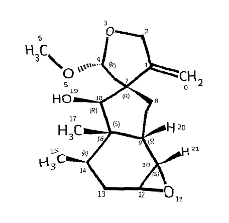 C=C1CO[C@@H](OC)[C@]12C[C@@H]1[C@@H]3OC3C[C@@H](C)[C@]1(C)[C@H]2O